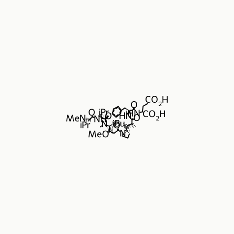 CC[C@H](C)[C@@H]([C@@H](CC(=O)N1CCC[C@H]1[C@H](C)[C@@H](C)C(=O)N[C@@H](Cc1ccccc1)C(=O)NC(CCC(=O)O)C(=O)O)OC)N(C)C(=O)[C@@H](NC(=O)[C@@H](NC)C(C)C)C(C)C